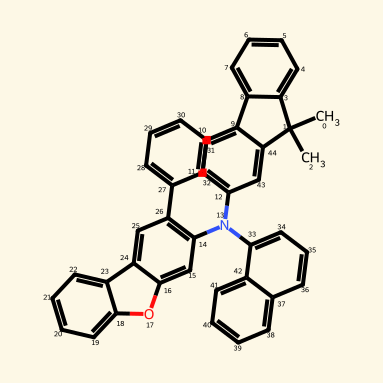 CC1(C)c2ccccc2-c2ccc(N(c3cc4oc5ccccc5c4cc3-c3ccccc3)c3cccc4ccccc34)cc21